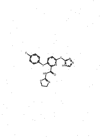 O=C(NC1=NCCS1)c1nc(Sc2nnc[nH]2)ccc1Sc1ccc(F)cc1